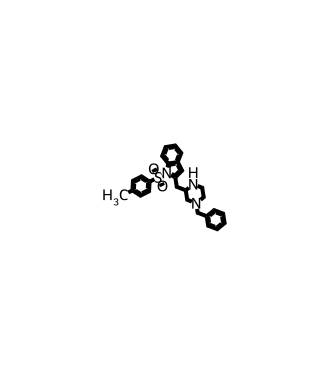 Cc1ccc(S(=O)(=O)n2c(CC3CN(Cc4ccccc4)CCN3)cc3ccccc32)cc1